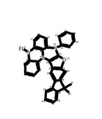 CCN1c2ccccc2B2c3c1cccc3N(c1ccccc1)c1oc3cc4c(cc3c12)-c1ccccc1C4(C)C